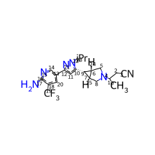 CC(CC#N)N1C[C@@H]2[C@H](C1)[C@@H]2c1cc(-c2cnc(N)c(C(F)(F)F)c2)nn1C(C)C